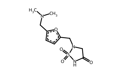 CN(C)Cc1ccc(CN2CC(=O)NS2(=O)=O)o1